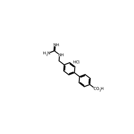 Cl.N=C(N)NCc1ccc(-c2ccc(C(=O)O)cc2)cc1